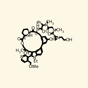 CCn1c(-c2cnccc2COC)c2c3cc(ccc31)-c1cc(O)cc(c1)C[C@H](NC(=O)C(C(C)C)N(C)C(=O)CN(C)C(=O)[C@@H]1CN1CCO)C(=O)N1CCC[C@H](N1)C(=O)OCC(C)(C)C2